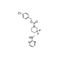 O=C(OCc1ccc(Cl)cc1)N1CC[C@@H](CNc2ncccn2)C(F)(F)C1